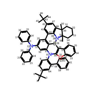 CC(C)(C)c1ccc(N2c3cc(N(c4ccccc4)c4ccccc4)cc4c3B(c3c2oc2ccccc32)N2c3c-4cc(C(C)(C)C)cc3C3(C)CCCCC23C)c(-c2ccccc2)c1